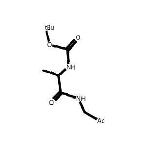 CC(=O)CNC(=O)C(C)NC(=O)OC(C)(C)C